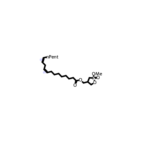 CCCCC/C=C\C/C=C\CCCCCCCC(=O)OCC1COP(=O)(OC)C1